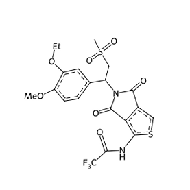 CCOc1cc(C(CS(C)(=O)=O)N2C(=O)c3csc(NC(=O)C(F)(F)F)c3C2=O)ccc1OC